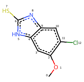 COc1cc2[nH]c(S)nc2cc1Cl